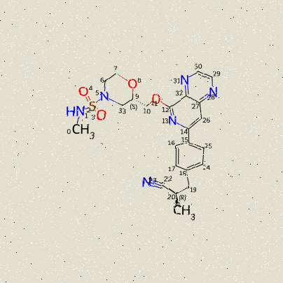 CNS(=O)(=O)N1CCO[C@H](COc2nc(-c3ccc(C[C@@H](C)C#N)cc3)cc3nccnc23)C1